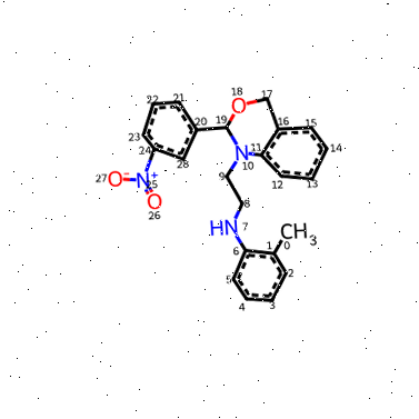 Cc1ccccc1NCCN1c2ccccc2COC1c1cccc([N+](=O)[O-])c1